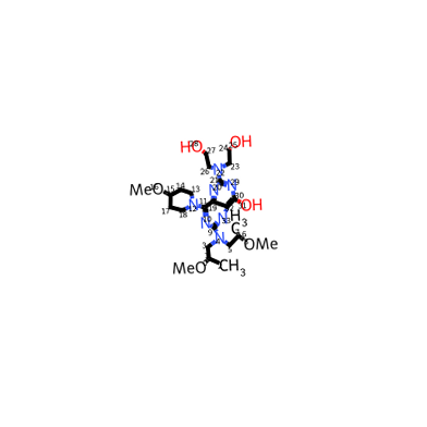 COC(C)CN(CC(C)OC)c1nc(N2CCC(OC)CC2)c2nc(N(CCO)CCO)nc(O)c2n1